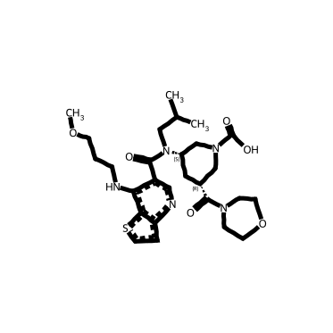 COCCCNc1c(C(=O)N(CC(C)C)[C@H]2C[C@@H](C(=O)N3CCOCC3)CN(C(=O)O)C2)cnc2ccsc12